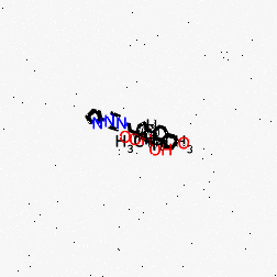 C[C@]12CCC(=O)C=C1CC[C@@H]1[C@@H]2[C@H](O)C[C@@]2(C)[C@H]1CC[C@@]2(O)C(=O)CN1CCN(c2ccccn2)CC1